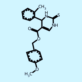 COc1ccc(COC(=O)C2=CNC(=S)NC2c2ccccc2C)cc1